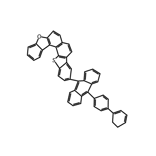 C1=CCCC(c2ccc(-c3c4ccccc4c(-c4ccc5sc6c(ccc7ccc8oc9ccccc9c8c76)c5c4)c4ccccc34)cc2)=C1